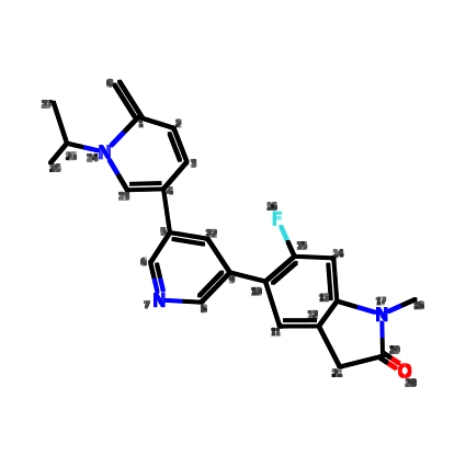 C=C1C=CC(c2cncc(-c3cc4c(cc3F)N(C)C(=O)C4)c2)=CN1C(C)C